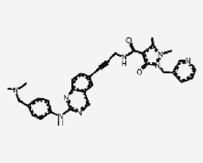 Cc1c(C(=O)NCC#Cc2ccc3nc(Nc4ccc(CN(C)C)cc4)ncc3c2)c(=O)n(Cc2cccnc2)n1C